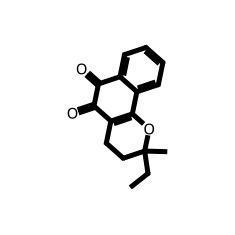 CCC1(C)CCC2=C(O1)c1ccccc1C(=O)C2=O